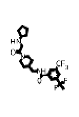 CC(F)(F)c1cc(C(=O)NCC2CCN(C(=O)CNC3CCCC3)CC2)cc(C(F)(F)F)c1